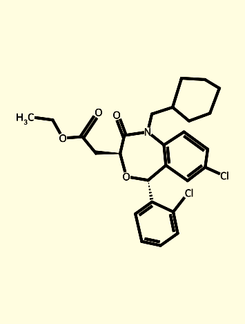 CCOC(=O)C[C@@H]1O[C@@H](c2ccccc2Cl)c2cc(Cl)ccc2N(CC2CCCCC2)C1=O